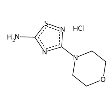 Cl.Nc1nc(N2CCOCC2)ns1